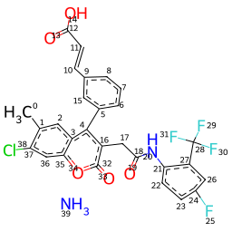 Cc1cc2c(-c3cccc(/C=C/C(=O)O)c3)c(CC(=O)Nc3ccc(F)cc3C(F)(F)F)c(=O)oc2cc1Cl.N